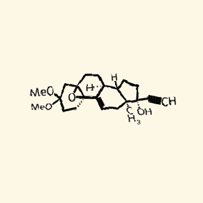 C#C[C@]1(O)CC[C@H]2[C@@H]3CC[C@@]45CC(OC)(OC)CC[C@@]4(O5)C3=CC[C@@]21C